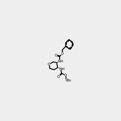 CC(C)(C)OC(=O)N[C@@H]1CCOC[C@@H]1NC(=O)OCc1ccccc1